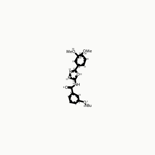 CCCCOc1cccc(C(=O)Nc2nnc(-c3ccc(OC)c(OC)c3)o2)c1